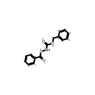 O=C(NOC(=O)c1ccccc1)OCc1ccccc1